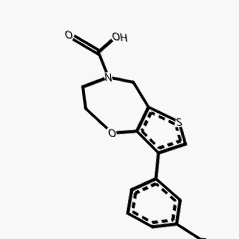 O=C(O)N1CCOc2c(-c3cccc(F)c3)csc2C1